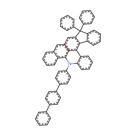 c1ccc(-c2ccc(-c3ccc(N(c4ccccc4-c4cccc5c4-c4ccccc4C5(c4ccccc4)c4ccccc4)c4cccc5ccccc45)cc3)cc2)cc1